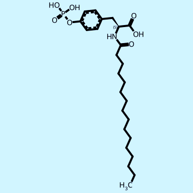 CCCCCCCCCCCCCCCC(=O)N[C@@H](Cc1ccc(OP(=O)(O)O)cc1)C(=O)O